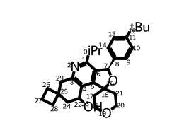 CC(C)c1nc2c(c3c1[C@@H](c1ccc(C(C)(C)C)cc1)OC31CCOCC1)C(O)CC1(CCC1)C2